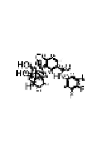 O=C(Nc1cc(F)c(F)c(F)c1)c1ccc(Cl)c(S(=O)(=O)C[C@@H]2C3CC[C@H]2C[C@](O)(CO)C3)c1